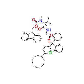 CC(C)[C@@H](C(=O)NCC(=O)OC(c1ccccc1)(c1ccc(C2CCCCCCCC2)cc1)c1ccccc1Cl)N(C)C(=O)OCC1c2ccccc2-c2ccccc21